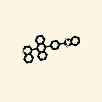 c1ccc2oc(-c3ccc(-c4c5ccccc5c(-c5ccnc6ccccc56)c5ccccc45)cc3)nc2c1